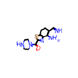 N=CC1=C(N)c2nc(C(=O)N3CCNCC3)sc2CC1